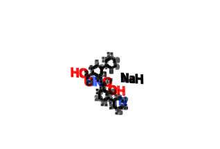 O=C(O)c1ccc(-c2ccccc2)cc1NC(=O)c1cccc(-c2cccnc2)c1O.[NaH]